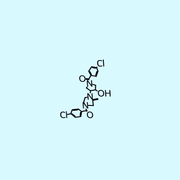 C=C1CN(C(=O)c2ccc(Cl)cc2)CCN1C1CN(C(=O)c2ccc(Cl)cc2)CC1O